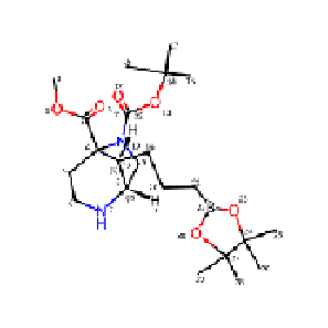 COC(=O)C12CCN[C@@H](CN1C(=O)OC(C)(C)C)[C@H]2CCCB1OC(C)(C)C(C)(C)O1